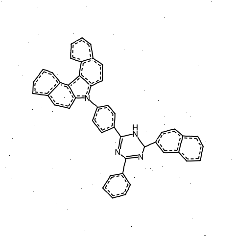 c1ccc(C2=NC(c3ccc4ccccc4c3)NC(c3ccc(-n4c5ccc6ccccc6c5c5c6ccccc6ccc54)cc3)=N2)cc1